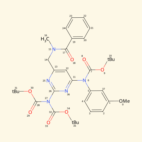 COc1cccc(N(C(=O)OC(C)(C)C)c2cc(CN(C)C(=O)c3ccccc3)nc(N(C(=O)OC(C)(C)C)C(=O)OC(C)(C)C)n2)c1